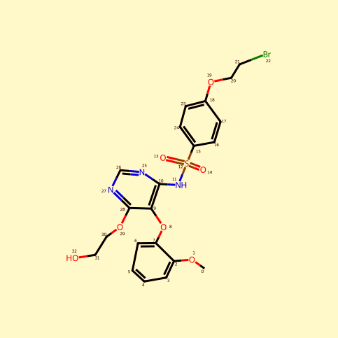 COc1ccccc1Oc1c(NS(=O)(=O)c2ccc(OCCBr)cc2)ncnc1OCCO